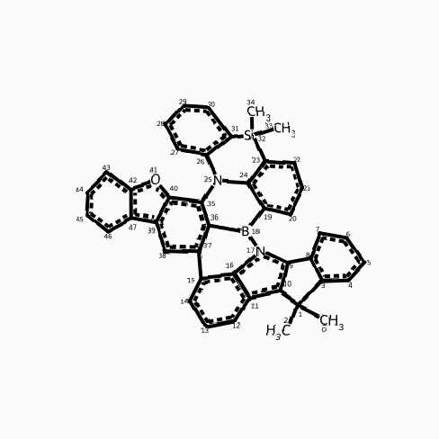 CC1(C)c2ccccc2-c2c1c1cccc3c1n2B1c2cccc4c2N(c2ccccc2[Si]4(C)C)c2c1c-3cc1c2oc2ccccc21